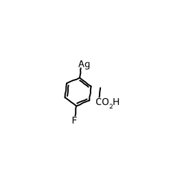 CC(=O)O.Fc1cc[c]([Ag])cc1